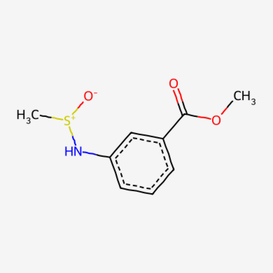 COC(=O)c1cccc(N[S+](C)[O-])c1